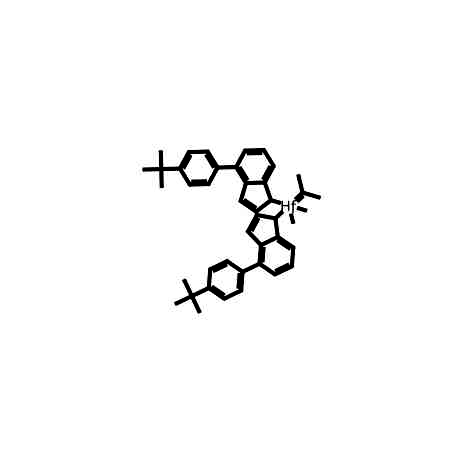 C[C](C)=[Hf]([CH3])([CH3])([CH]1C=Cc2c(-c3ccc(C(C)(C)C)cc3)cccc21)[CH]1C=Cc2c(-c3ccc(C(C)(C)C)cc3)cccc21